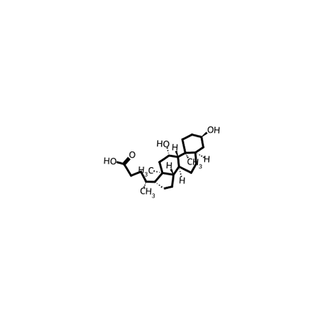 C[C@H](CCC(=O)O)[C@H]1CC[C@H]2[C@@H]3CC[C@@H]4C[C@H](O)CC[C@]4(C)[C@H]3[C@@H](O)C[C@]12C